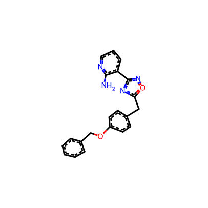 Nc1ncccc1-c1noc(Cc2ccc(OCc3ccccc3)cc2)n1